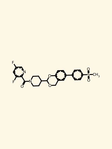 CS(=O)(=O)c1ccc(-c2ccc3c(c2)COC(C2CCN(C(=O)c4ncc(F)cc4F)CC2)O3)cc1